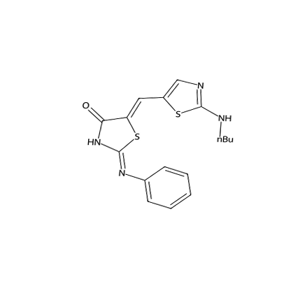 CCCCNc1ncc(C=C2SC(=Nc3ccccc3)NC2=O)s1